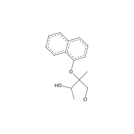 CC(O)C(C)(CCl)Oc1cccc2ccccc12